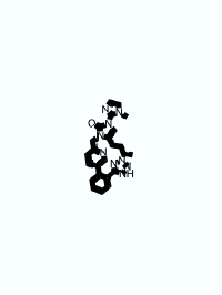 CCCCc1cn(-c2nccn2C)c(=O)n1Cc1ccc(-c2ccccc2-c2nnn[nH]2)cn1